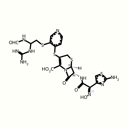 N=C(N)NC(CSc1cnccc1SC1=C(C(=O)O)N2C(=O)[C@@H](NC(=O)/C(=N\O)c3csc(N)n3)[C@@H]2SC1)NC=O